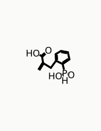 C=C(Cc1ccccc1[PH](=O)O)C(=O)O